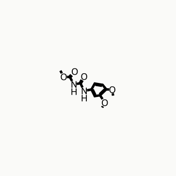 COC(=O)NC(=O)Nc1ccc(OC)c(OC)c1